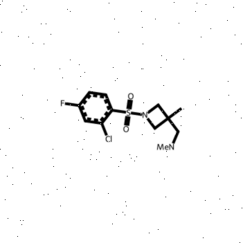 CNCC1(C)CN(S(=O)(=O)c2ccc(F)cc2Cl)C1